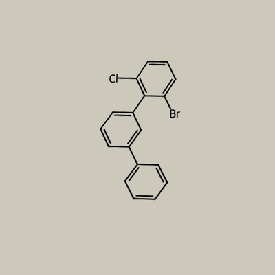 Clc1cccc(Br)c1-c1cccc(-c2ccccc2)c1